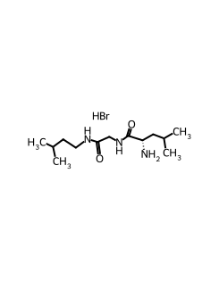 Br.CC(C)CCNC(=O)CNC(=O)[C@@H](N)CC(C)C